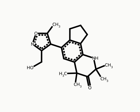 Cc1onc(CO)c1-c1cc2c(c3c1CCC3)NC(C)(C)C(=O)C2(C)C